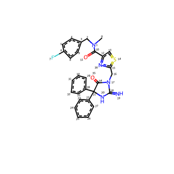 CN(Cc1ccc(F)cc1)C(=O)c1csc(CN2C(=N)NC(c3ccccc3)(c3ccccc3)C2=O)n1